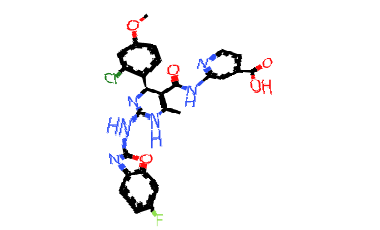 COc1ccc([C@@H]2N=C(Nc3nc4ccc(F)cc4o3)NC(C)=C2C(=O)Nc2cc(C(=O)O)ccn2)c(Cl)c1